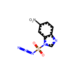 [N-]=[N+]=NS(=O)(=O)n1cnc2ccc([N+](=O)[O-])cc21